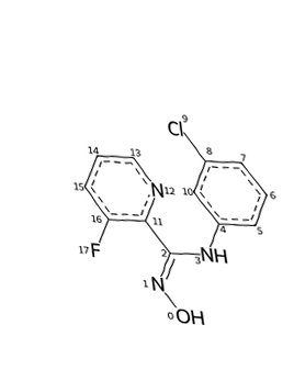 O/N=C(\Nc1cccc(Cl)c1)c1ncccc1F